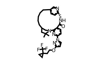 CC1(C)CC2CCCCCc3ccc(nc3)SNC(=O)c3ccc(-n4ccc(OCCC5(C(F)(F)F)CC5)n4)nc3N1C2